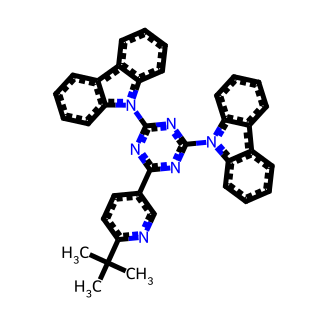 CC(C)(C)c1ccc(-c2nc(-n3c4ccccc4c4ccccc43)nc(-n3c4ccccc4c4ccccc43)n2)cn1